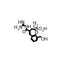 CS(=O)(=O)O.N=C(N)NC(=O)C1=Cc2cccc(CO)c2OCC1